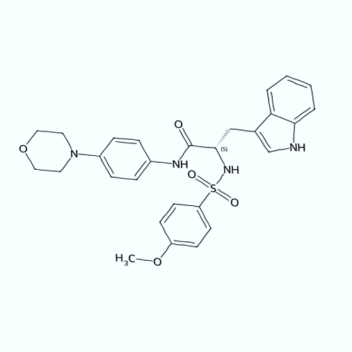 COc1ccc(S(=O)(=O)N[C@@H](Cc2c[nH]c3ccccc23)C(=O)Nc2ccc(N3CCOCC3)cc2)cc1